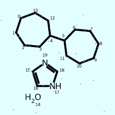 C1CCCC(C2CCCCCC2)CC1.O.c1c[nH]cn1